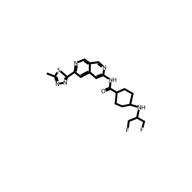 Cc1nnc(-c2cc3cc(NC(=O)C4CCC(NC(CF)CF)CC4)ncc3cn2)s1